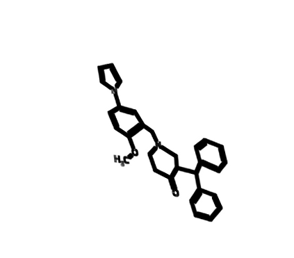 COc1ccc(-n2cccc2)cc1CN1CCC(=O)C(C(c2ccccc2)c2ccccc2)C1